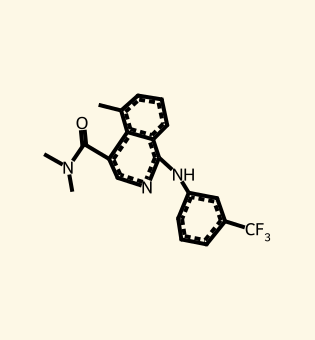 Cc1cccc2c(Nc3cccc(C(F)(F)F)c3)ncc(C(=O)N(C)C)c12